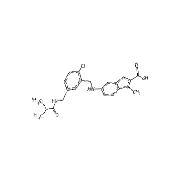 CC(C)C(=O)NCc1ccc(Cl)c(CNc2ccc3c(c2)cc(C(=O)O)n3C)c1